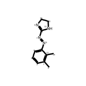 Cc1cccc(N=NC2=NCCN2)c1C